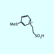 CSc1ccc[n+](CCS(=O)(=O)O)c1